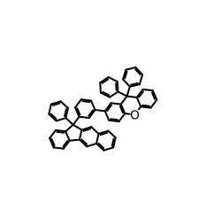 c1ccc(C2(c3ccccc3)c3ccccc3Oc3ccc(-c4cccc(C5(c6ccccc6)c6ccccc6-c6cc7ccccc7cc65)c4)cc32)cc1